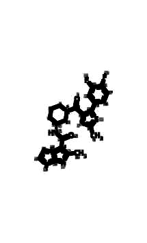 Cc1nc(C(=O)N2CCC[C@@H](NC(=O)c3c(C)nc4sccn34)C2)c(-c2ccc(F)c(F)c2)s1